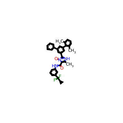 Cc1cccc(C)c1-c1cc(-c2ccccc2)cc(-c2[nH]c(C)c(C(=O)Nc3cccc(C(F)(F)C4CC4)c3)[n+]2[O-])c1